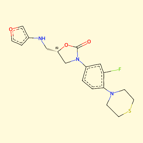 O=C1O[C@@H](CNc2ccoc2)CN1c1ccc(N2CCSCC2)c(F)c1